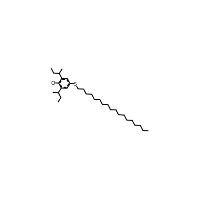 CCCCCCCCCCCCCCCCCCSc1cc(C(C)CC)c([O])c(C(C)CC)c1